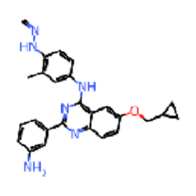 C=NNc1ccc(Nc2nc(-c3cccc(N)c3)nc3ccc(OCC4CC4)cc23)cc1C